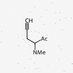 C#CCC(NC)C(C)=O